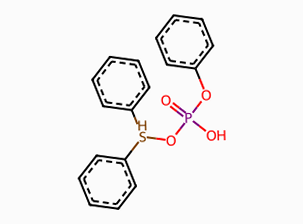 O=P(O)(Oc1ccccc1)O[SH](c1ccccc1)c1ccccc1